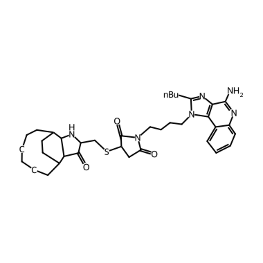 CCCCc1nc2c(N)nc3ccccc3c2n1CCCCN1C(=O)CC(SCC2NC3C4CCCCCCC(CC4)C3C2=O)C1=O